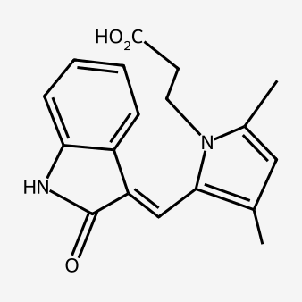 Cc1cc(C)n(CCC(=O)O)c1C=C1C(=O)Nc2ccccc21